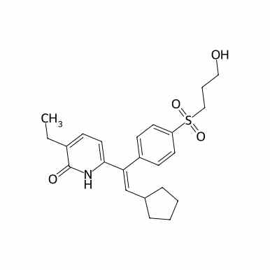 CCc1ccc(/C(=C/C2CCCC2)c2ccc(S(=O)(=O)CCCO)cc2)[nH]c1=O